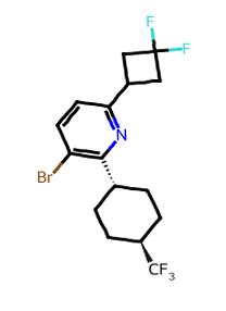 FC1(F)CC(c2ccc(Br)c([C@H]3CC[C@H](C(F)(F)F)CC3)n2)C1